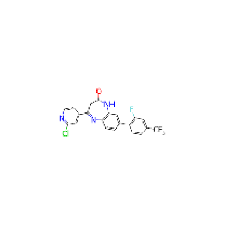 O=C1CC(c2ccnc(Cl)c2)=Nc2ccc(-c3ccc(C(F)(F)F)cc3F)cc2N1